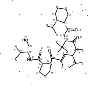 C/C(=C\[C@H](C(C)C)N(C)C(=O)[C@@H](NC(=O)[C@H]1CCCCN1C(C)C)C(C)(C)C)C(=O)N1CCC[C@H]1C(=O)N[C@@H](CO)C(C)C